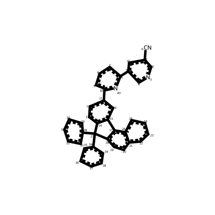 N#Cc1cncc(-c2cccc(-c3ccc4c(c3)-c3c(ccc5ccccc35)C4(c3ccccc3)c3ccccc3)n2)c1